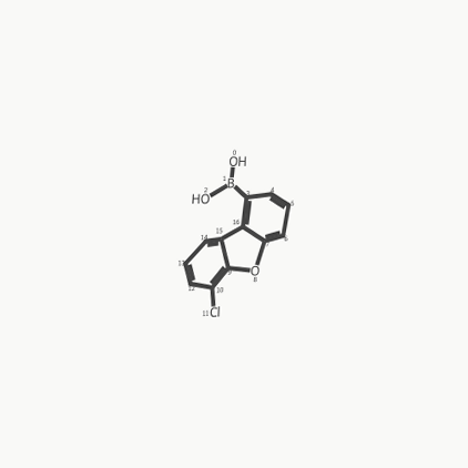 OB(O)c1cccc2oc3c(Cl)cccc3c12